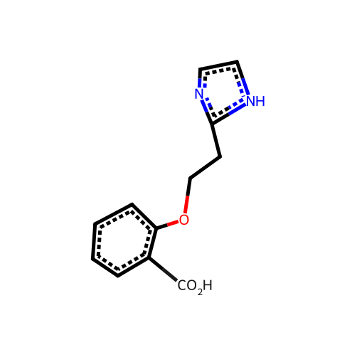 O=C(O)c1ccccc1OCCc1ncc[nH]1